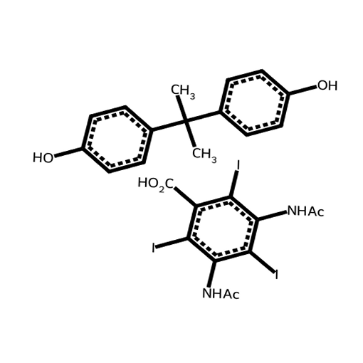 CC(=O)Nc1c(I)c(NC(C)=O)c(I)c(C(=O)O)c1I.CC(C)(c1ccc(O)cc1)c1ccc(O)cc1